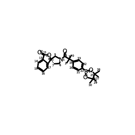 CC(C)(C(=O)N1CC[C@@]2(C1)OC(=O)c1ccccc12)c1ccc(B2OC(C)(C)C(C)(C)O2)cc1